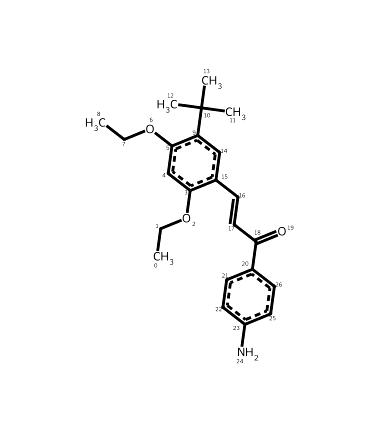 CCOc1cc(OCC)c(C(C)(C)C)cc1/C=C/C(=O)c1ccc(N)cc1